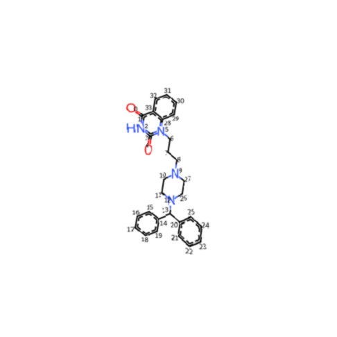 O=c1[nH]c(=O)n(CCCN2CCN(C(c3ccccc3)c3ccccc3)CC2)c2ccccc12